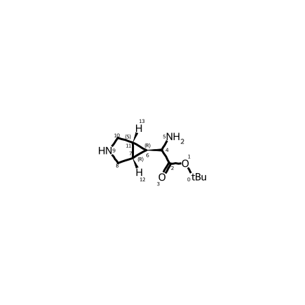 CC(C)(C)OC(=O)C(N)[C@H]1[C@@H]2CNC[C@@H]21